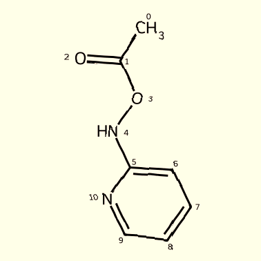 CC(=O)ONc1ccccn1